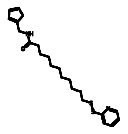 O=C(CCCCCCCCCCSSc1ccccn1)NCC1=CC=CC1